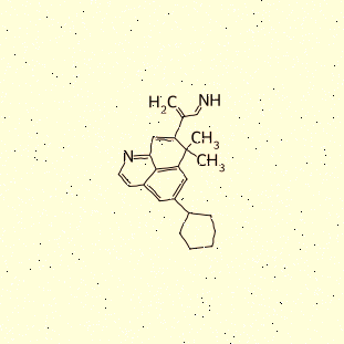 C=C(C=N)C1=Cc2nccc3cc(C4CCCCC4)cc(c23)C1(C)C